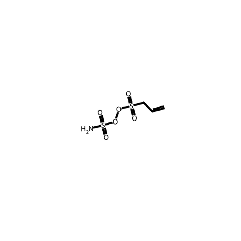 C=CCS(=O)(=O)OOS(N)(=O)=O